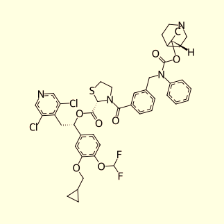 O=C(O[C@@H](Cc1c(Cl)cncc1Cl)c1ccc(OC(F)F)c(OCC2CC2)c1)[C@@H]1SCCN1C(=O)c1cccc(CN(C(=O)O[C@H]2CN3CCC2CC3)c2ccccc2)c1